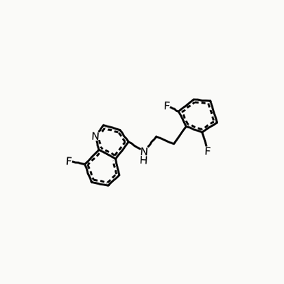 Fc1cccc(F)c1CCNc1ccnc2c(F)cccc12